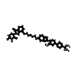 CN(C)c1ccc(-c2ccc(-c3nc4ccc(OCCOCCOc5cccc6c5CN(C5CCC(=O)NC5=O)C6=O)cc4s3)c(C(F)(F)F)c2)cn1